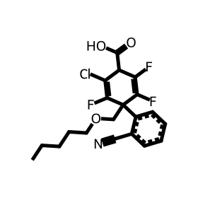 CCCCCOCC1(c2ccccc2C#N)C(F)=C(F)C(C(=O)O)C(Cl)=C1F